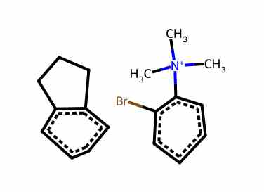 C[N+](C)(C)c1ccccc1Br.c1ccc2c(c1)CCC2